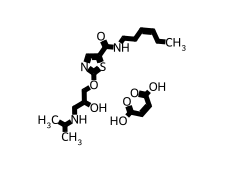 CC/C=C\CCNC(=O)c1cnc(OCC(O)CNC(C)C)s1.O=C(O)/C=C\C(=O)O